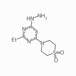 CCc1nc(NN)cc(N2CCS(=O)(=O)CC2)n1